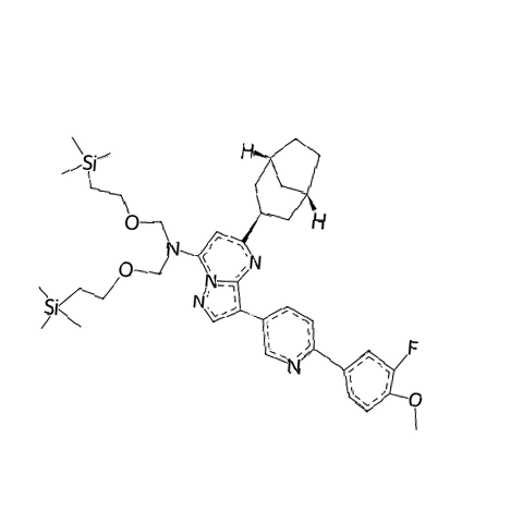 COc1ccc(-c2ccc(-c3cnn4c(N(COCC[Si](C)(C)C)COCC[Si](C)(C)C)cc([C@H]5C[C@@H]6CC[C@@H](C6)C5)nc34)cn2)cc1F